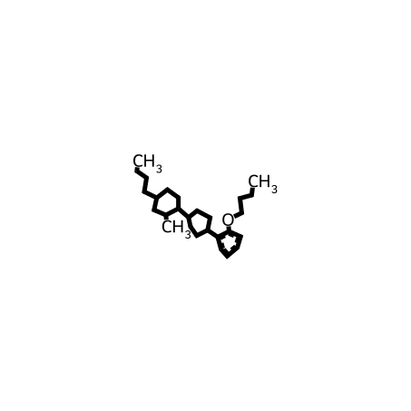 CCCCOc1ccccc1C1CCC(C2CCC(CCCC)CC2C)CC1